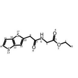 CCOC(=O)CNC(=O)Cc1cc2sccc2s1